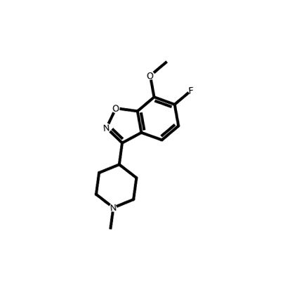 COc1c(F)ccc2c(C3CCN(C)CC3)noc12